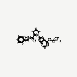 O=C(NCc1ccccc1)[C@H]1CCCN1c1nc2ncnc(OCC(F)(F)F)c2s1